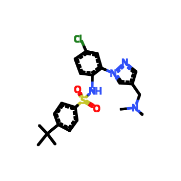 CN(C)Cc1cnn(-c2cc(Cl)ccc2NS(=O)(=O)c2ccc(C(C)(C)C)cc2)c1